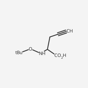 C#CCC(NOC(C)(C)C)C(=O)O